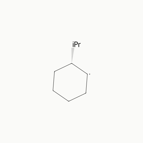 CC(C)[C@@H]1[CH]CCCC1